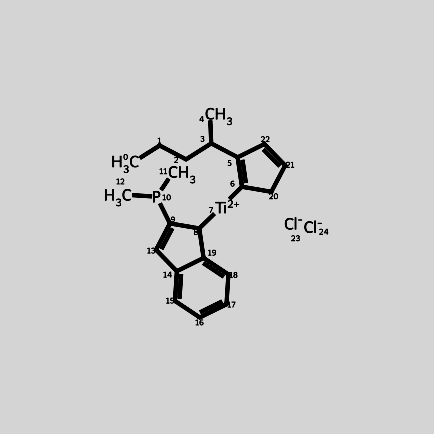 CCCC(C)C1=[C]([Ti+2][CH]2C(P(C)C)=Cc3ccccc32)CC=C1.[Cl-].[Cl-]